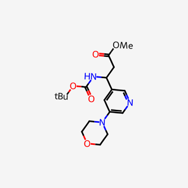 COC(=O)CC(NC(=O)OC(C)(C)C)c1cncc(N2CCOCC2)c1